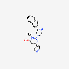 Cn1c(N2CCNC(c3ccc4ccccc4c3)C2)nc(-c2ccncc2)cc1=O